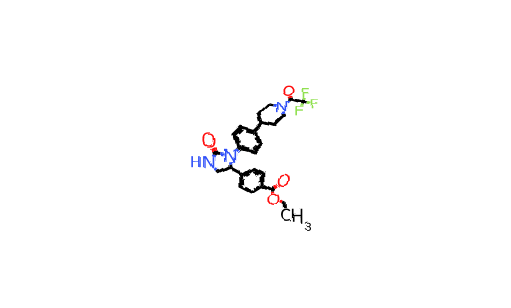 CCOC(=O)c1ccc(C2CNC(=O)N2c2ccc(C3CCN(C(=O)C(F)(F)F)CC3)cc2)cc1